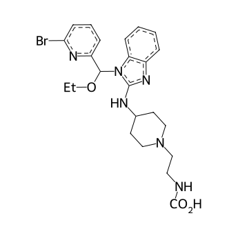 CCOC(c1cccc(Br)n1)n1c(NC2CCN(CCNC(=O)O)CC2)nc2ccccc21